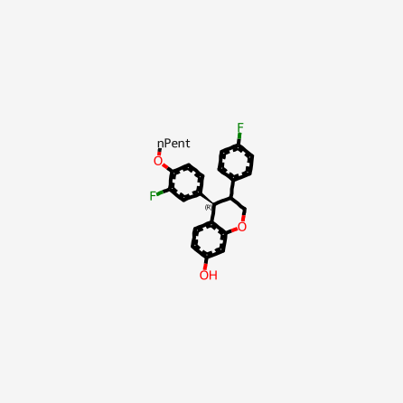 CCCCCOc1ccc([C@@H]2c3ccc(O)cc3OCC2c2ccc(F)cc2)cc1F